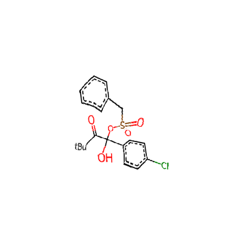 CC(C)(C)C(=O)C(O)(OS(=O)(=O)Cc1ccccc1)c1ccc(Cl)cc1